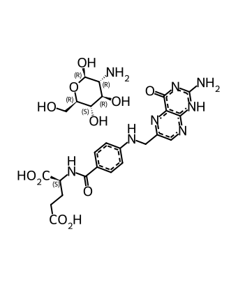 N[C@@H]1[C@@H](O)[C@H](O)[C@@H](CO)O[C@H]1O.Nc1nc(=O)c2nc(CNc3ccc(C(=O)N[C@@H](CCC(=O)O)C(=O)O)cc3)cnc2[nH]1